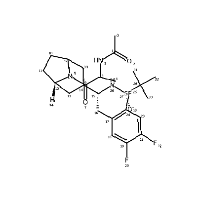 CC(=O)NC(C)C(=O)N1C2CC[C@H]1CC([C@@H](Cc1cc(F)c(F)cc1F)N[S@@+]([O-])C(C)(C)C)C2